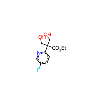 CCOC(=O)C(CO)(CO)c1ccc(F)cn1